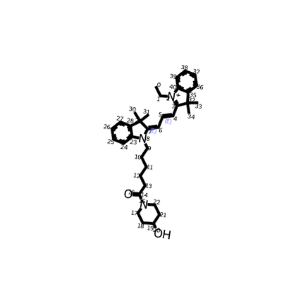 CC[N+]1=C(/C=C/C=C2/N(CCCCCC(=O)N3CCC(O)CC3)c3ccccc3C2(C)C)C(C)(C)c2ccccc21